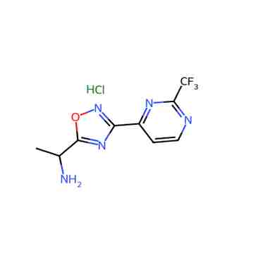 CC(N)c1nc(-c2ccnc(C(F)(F)F)n2)no1.Cl